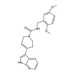 COc1ccc(OC)c(CNC(=O)N2CC=C(c3c[nH]c4ncccc34)CC2)c1